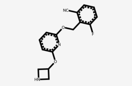 N#Cc1cccc(F)c1COc1cccc(OC2CNC2)n1